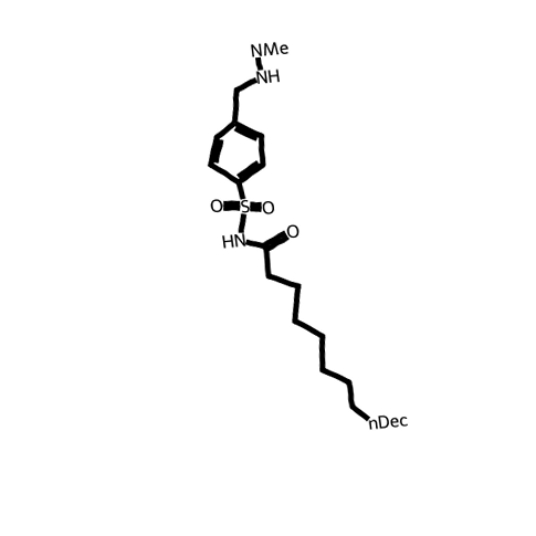 CCCCCCCCCCCCCCCCCC(=O)NS(=O)(=O)c1ccc(CNNC)cc1